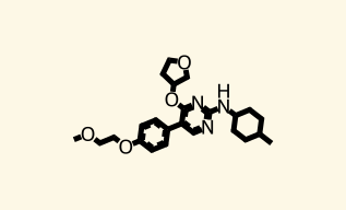 COCCOc1ccc(-c2cnc(NC3CCC(C)CC3)nc2OC2CCOC2)cc1